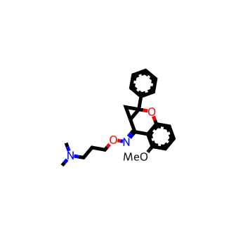 COc1cccc2c1C(=NOCCCN(C)C)C1CC1(c1ccccc1)O2